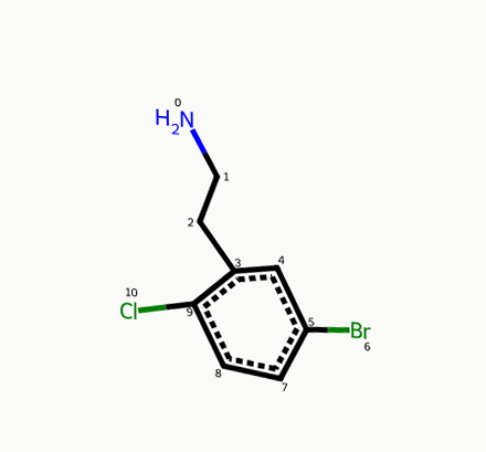 NCCc1cc(Br)ccc1Cl